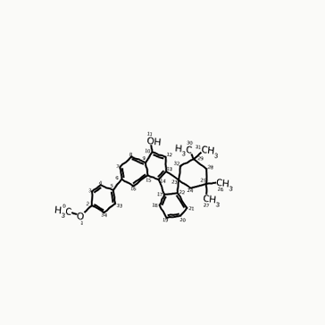 COc1ccc(-c2ccc3c(O)cc4c(c3c2)-c2ccccc2C42CC(C)(C)CC(C)(C)C2)cc1